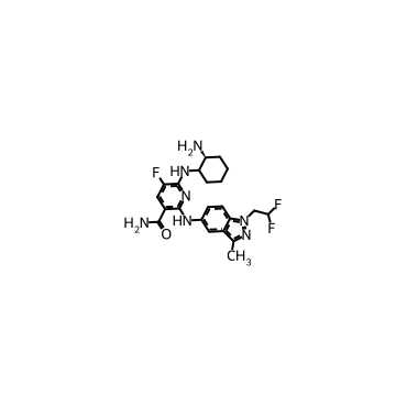 Cc1nn(CC(F)F)c2ccc(Nc3nc(NC4CCCC[C@@H]4N)c(F)cc3C(N)=O)cc12